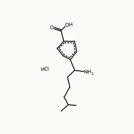 CC(C)CCCC(N)c1ccc(C(=O)O)cc1.Cl